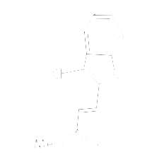 COC(=O)C=Cc1sc2ccccc2c1Cl